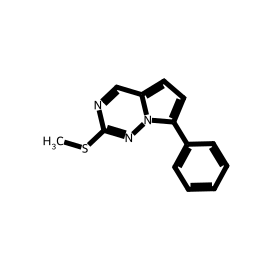 CSc1ncc2ccc(-c3ccccc3)n2n1